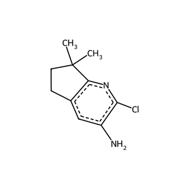 CC1(C)CCc2cc(N)c(Cl)nc21